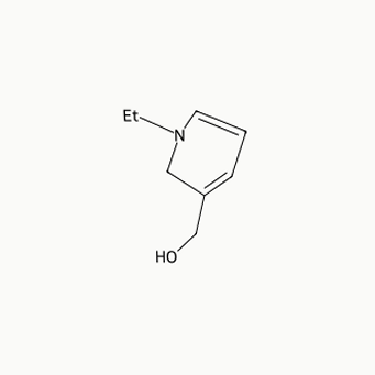 CCN1C=CC=C(CO)C1